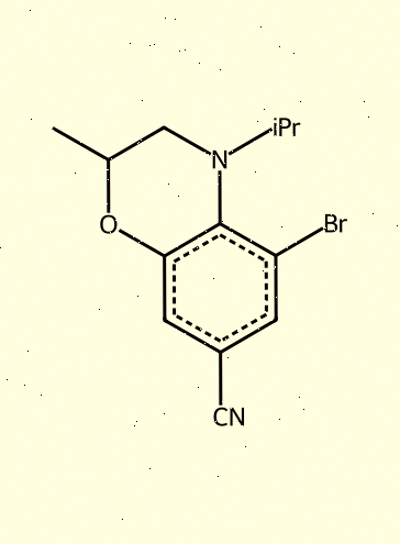 CC1CN(C(C)C)c2c(Br)cc(C#N)cc2O1